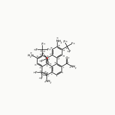 NC(=O)c1ccc(C(N)=O)c(-c2cc(C(F)(F)F)c(N)cc2C(F)(F)F)c1-c1cc(C(F)(F)F)c(N)cc1C(F)(F)F